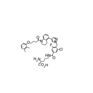 Cc1cccc(OCCCC(=O)N2CCCc3c(-c4cnn(Cc5c(F)cc(C(=O)NCCCC(N)C(=O)O)cc5Cl)c4)cccc32)c1C